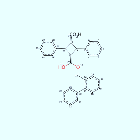 O=C(O)[C@H]1C(c2ccccc2)[C@@H](C(O)OCc2ccccc2-c2ccccc2)C1c1ccccc1